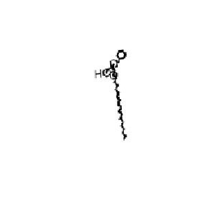 CCCCCCCCCCCCCCCCCCOCC(CO)OCC1CCCCC1